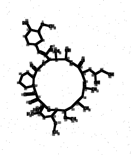 COC1CC(/C=C(\C)C2OC(=O)C3CCCCN3C(=O)C(=O)C3(O)OC(C(OC)CC(C)C/C(C)=C\C(CC(O)CO)C(=O)CC(O)C2C)C(OC)CC3C)CCC1O